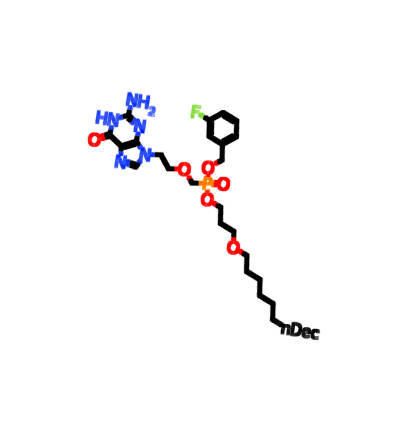 CCCCCCCCCCCCCCCCOCCCOP(=O)(COCCn1cnc2c(=O)[nH]c(N)nc21)OCc1cccc(F)c1